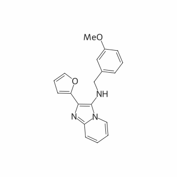 COc1cccc(CNc2c(-c3ccco3)nc3ccccn23)c1